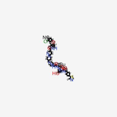 Cc1ncsc1-c1ccc([C@H](CO)NC(=O)[C@@H]2C[C@@H](O)CN2C(=O)[C@@H](NC(=O)CN2CCN(CC3CCN(c4ccc(C(=O)N[C@H]5C(C)(C)[C@H](Oc6ccc(C#N)c(Cl)c6)C5(C)C)cn4)CC3)CC2)C(C)(C)C)cc1